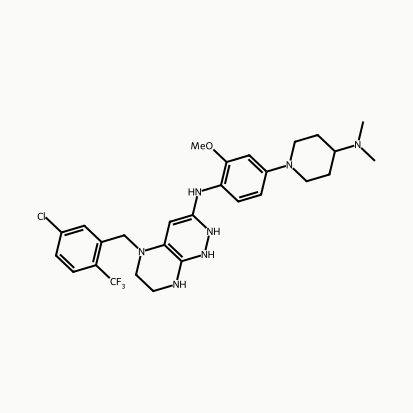 COc1cc(N2CCC(N(C)C)CC2)ccc1NC1=CC2=C(NCCN2Cc2cc(Cl)ccc2C(F)(F)F)NN1